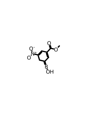 COC(=O)C1=C/C(=B/O)CC([N+](=O)[O-])=C1